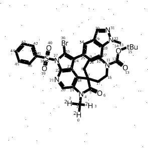 [2H]C([2H])([2H])N1C(=O)C2(CCCN(C(=O)OC(C)(C)C)CC2)c2c1cnc1c2c(-c2ccc3c(cnn3C)c2)c(Br)n1S(=O)(=O)c1ccccc1